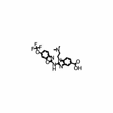 CN(C)CCn1c(Nc2nc3ccc(OC(F)(F)F)cc3o2)nc2cc(C(=O)O)ccc21